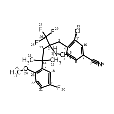 CNC(Cc1ccc(C#N)cc1Cl)(CC(C)(C)c1cc(F)ccc1OC)C(F)(F)F